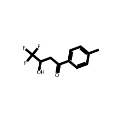 Cc1ccc(C(=O)CC(O)C(F)(F)F)cc1